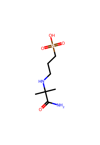 CC(C)(NCCCS(=O)(=O)O)C(N)=O